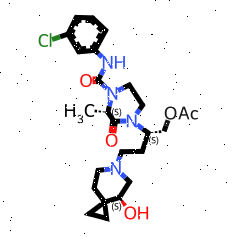 CC(=O)OC[C@H](CCN1CCC2(CC2)[C@H](O)C1)N1CCN(C(=O)Nc2cccc(Cl)c2)[C@@H](C)C1=O